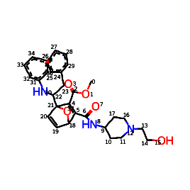 COC(=O)C1=C(C(=O)NC2CCN(CCO)CC2)C2C=CC1(C(Cc1ccccc1)Nc1ccccc1)O2